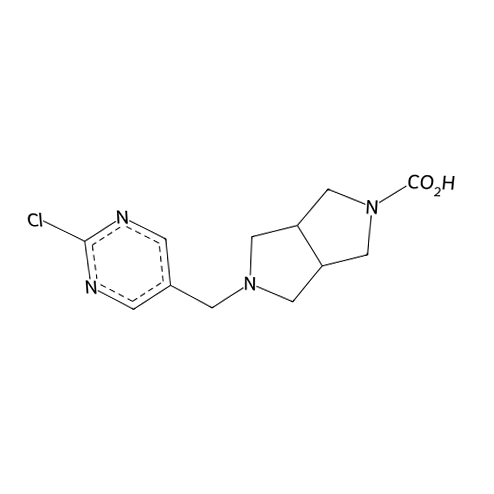 O=C(O)N1CC2CN(Cc3cnc(Cl)nc3)CC2C1